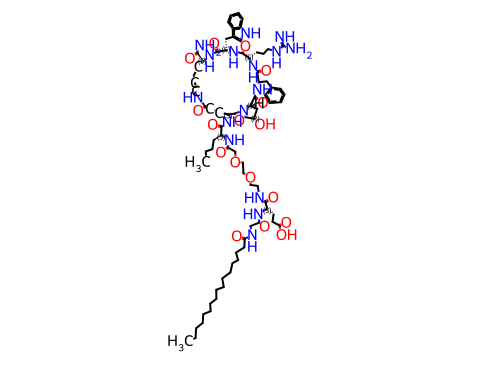 CCCCCCCCCCCCCCCCC(=O)NCC(=O)N[C@@H](CCC(=O)O)C(=O)NCCOCCOCC(=O)N[C@@H](CCCC)C(=O)N[C@H]1CCC(=O)NCCCC[C@@H](C(N)=O)NC(=O)[C@H](Cc2c[nH]c3ccccc23)NC(=O)[C@H](CCCNC(=N)N)NC(=O)C(Cc2ccccc2)NC(=O)[C@@H]2C[C@@H](O)CN2C1=O